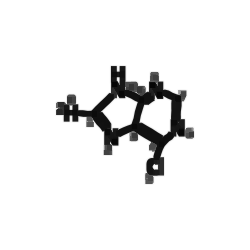 [2H]c1nc2c(Cl)ncnc2[nH]1